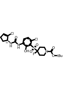 CC(C)(C)OC(=O)N1CCC(F)(S(=O)(=O)c2c(Cl)ccc(NC(=O)N[C@H]3CCC=C3Cl)c2O)CC1